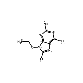 CCc1nc2c(N)nc(N)nc2n1OCP